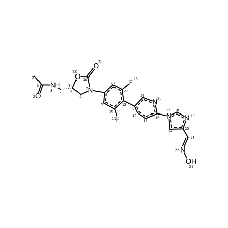 CC(=O)NC[C@H]1CN(c2cc(F)c(-c3ccc(-n4cnc(C=NO)c4)nc3)c(F)c2)C(=O)O1